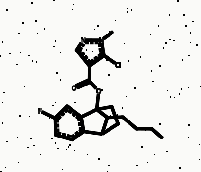 CCCCC1C2CCC1(OC(=O)c1cnn(C)c1Cl)c1cc(F)ccc12